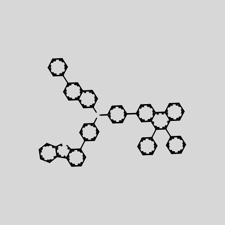 c1ccc(-c2ccc3cc(N(c4ccc(-c5ccc6c(c5)c(-c5ccccc5)c(-c5ccccc5)c5ccccc56)cc4)c4ccc(-c5cccc6c5oc5ccccc56)cc4)ccc3c2)cc1